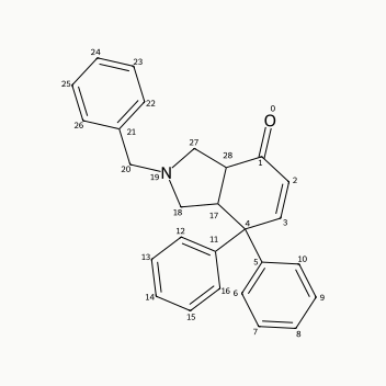 O=C1C=CC(c2ccccc2)(c2ccccc2)C2CN(Cc3ccccc3)CC12